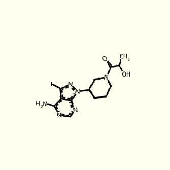 CC(O)C(=O)N1CCCC(n2nc(I)c3c(N)ncnc32)C1